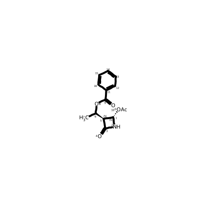 CC(=O)O[C@@H]1NC(=O)[C@H]1C(C)OC(=O)c1ccccc1